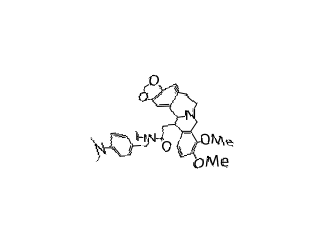 COc1ccc2c(c1OC)CN1CCc3cc4c(cc3C1C2CC(=O)NCc1ccc(N(C)C)cc1)OCO4